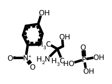 CC(C)(N)CO.O=P(O)(O)O.O=[N+]([O-])c1ccc(O)cc1